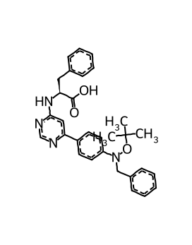 CC(C)(C)ON(Cc1ccccc1)c1ccc(-c2cc(N[C@@H](Cc3ccccc3)C(=O)O)ncn2)cc1